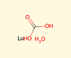 O.O=C(O)O.[Lu]